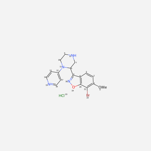 COc1ccc2c(C3CNCCN3c3ccncc3)noc2c1Br.Cl